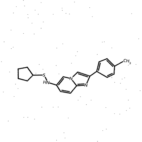 Cc1ccc(-c2cn3cc(NSC4CCCC4)ccc3n2)cc1